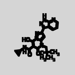 CC(C)(C)Cn1c(=O)c(C(=O)NC2CC2)c(O)n2nc(-c3n[nH]c4ncccc34)cc12